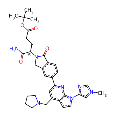 Cn1cnc(-n2ccc3c(CN4CCCC4)cc(-c4ccc5c(c4)CN([C@H](CCC(=O)OC(C)(C)C)C(N)=O)C5=O)nc32)c1